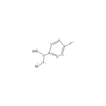 N#CSC(C=O)c1ccc(F)cc1